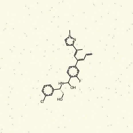 C=C/C=C(\C=C(/C)c1ccn(C)n1)c1ccc(C(O)N[C@H](CO)c2cccc(Cl)c2)c(F)c1